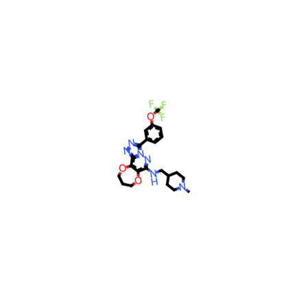 CN1CCC(CNc2nn3c(-c4cccc(OC(F)(F)F)c4)nnc3c3c2OCCCO3)CC1